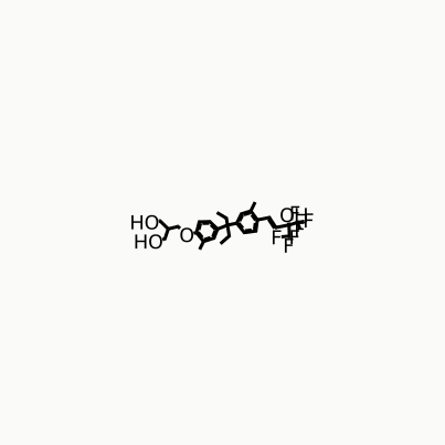 CCC(CC)(c1ccc(C=CC(O)(C(F)(F)F)C(F)(F)F)c(C)c1)c1ccc(OCC(CO)CO)c(C)c1